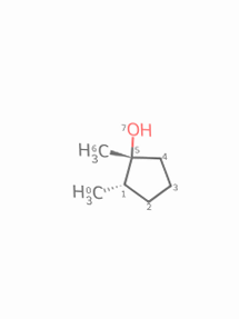 C[C@H]1CCC[C@@]1(C)O